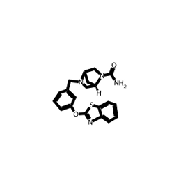 NC(=O)N1CC2C[C@H]1CN2Cc1cccc(Oc2nc3ccccc3s2)c1